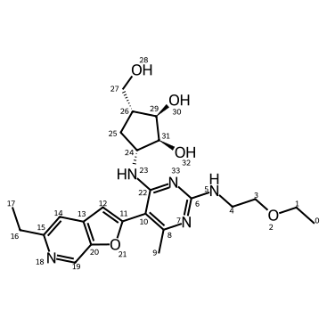 CCOCCNc1nc(C)c(-c2cc3cc(CC)ncc3o2)c(N[C@@H]2C[C@H](CO)[C@@H](O)[C@H]2O)n1